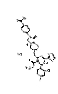 COC(=O)C1=C(CN2CCN3C(=O)N(c4ccc(C(=O)O)cc4)C[C@@H]3C2)N=C(c2nccs2)N[C@H]1c1ccc(F)cc1Cl.Cl